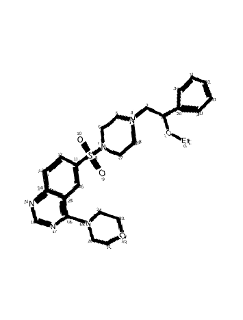 CCOC(CN1CCN(S(=O)(=O)c2ccc3ncnc(N4CCOCC4)c3c2)CC1)c1ccccc1